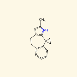 Cc1cc2c([nH]1)C1(CC1)c1ccccc1CC2